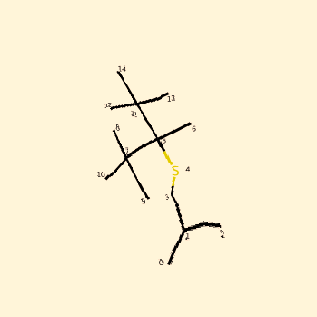 CC(C)CSC(C)(C(C)(C)C)C(C)(C)C